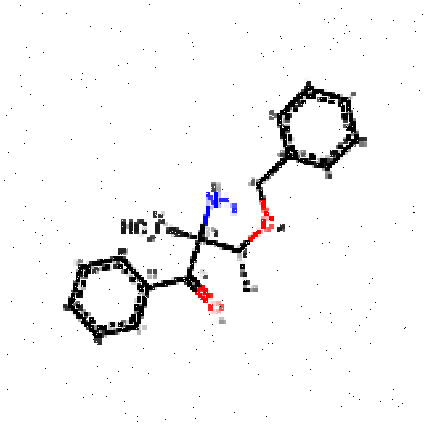 C[C@@H](OCc1ccccc1)[C@](N)(C(=O)O)C(=O)c1ccccc1